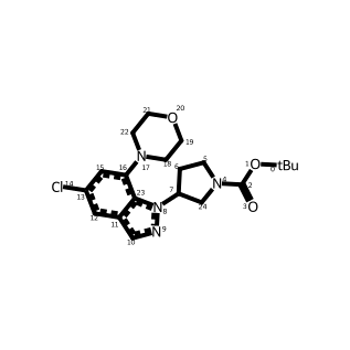 CC(C)(C)OC(=O)N1CCC(n2ncc3cc(Cl)cc(N4CCOCC4)c32)C1